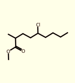 CCCCC(Cl)CCC(C)C(=O)OC